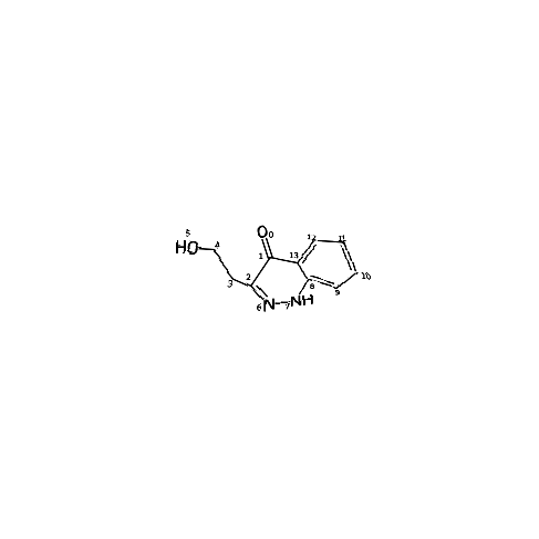 O=c1c(CCO)n[nH]c2ccccc12